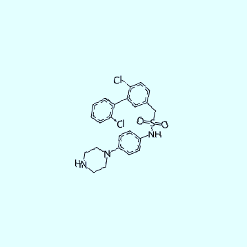 O=S(=O)(Cc1ccc(Cl)c(-c2ccccc2Cl)c1)Nc1ccc(N2CCNCC2)cc1